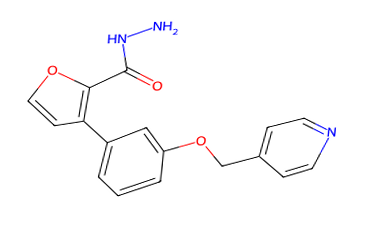 NNC(=O)c1occc1-c1cccc(OCc2ccncc2)c1